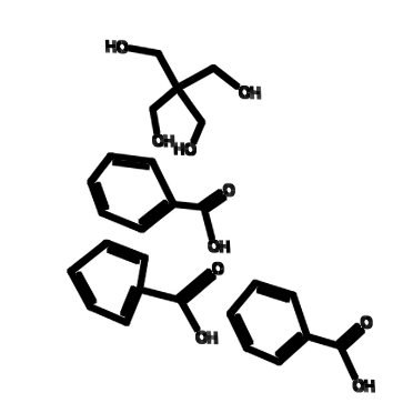 O=C(O)c1ccccc1.O=C(O)c1ccccc1.O=C(O)c1ccccc1.OCC(CO)(CO)CO